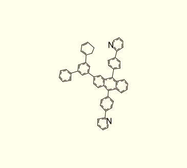 C1=CCCC(c2cc(-c3ccccc3)cc(-c3ccc4c(-c5ccc(-c6ccccn6)cc5)c5ccccc5c(-c5ccc(-c6ccccn6)cc5)c4c3)c2)=C1